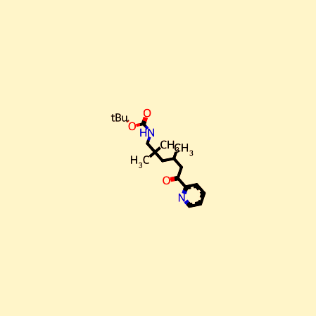 CC(CC(=O)c1ccccn1)CC(C)(C)CNC(=O)OC(C)(C)C